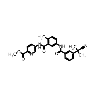 COC(=O)c1ccc(NC(=O)c2cc(NC(=O)c3cccc(C(C)(C)C#N)c3)ccc2C)cn1